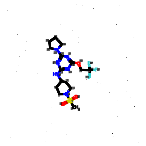 CS(=O)(=O)N1CCC(Nc2nc(OCC(F)(F)F)nc(N3CCCC3)n2)CC1